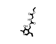 C=Cc1cnc(C)c(O)c1CSC(=O)NCC(=O)OCC